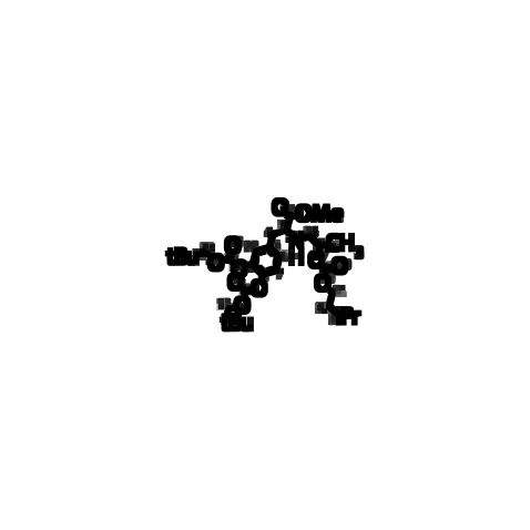 COC(=O)[C@H](Cc1ccc(OC(=O)OCC(C)(C)C)c(OC(=O)OCC(C)(C)C)c1)NCC(C)OC(=O)OCCC(C)C